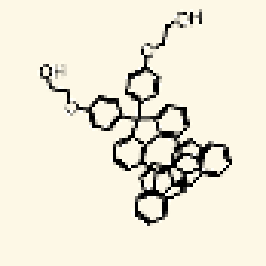 OCCOc1ccc(C2(c3ccc(OCCO)cc3)c3cccc(-c4c5ccccc5cc5ccccc45)c3-c3c(-c4c5ccccc5cc5ccccc45)cccc32)cc1